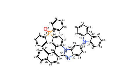 O=P(c1ccccc1)(c1ccccc1)c1ccc2c(c1)c1c3ccccc3ccc1c1nc3ccc(-n4c5ccccc5c5ccccc54)cc3n21